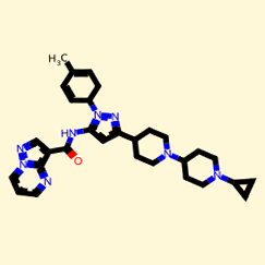 CC1=CCC(n2nc(C3CCN(C4CCN(C5CC5)CC4)CC3)cc2NC(=O)c2cnn3cccnc23)C=C1